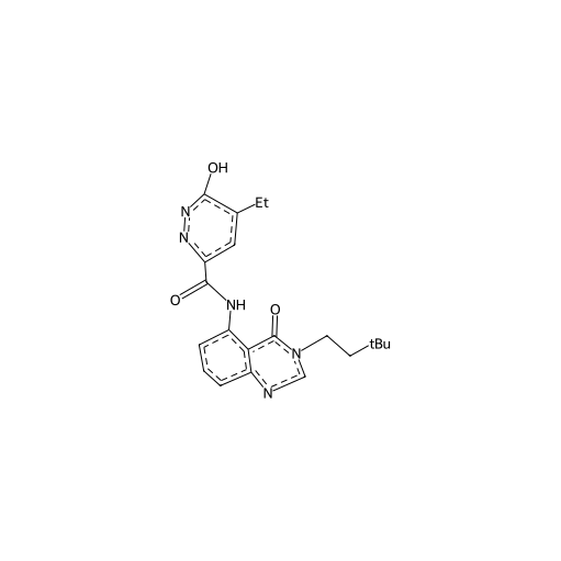 CCc1cc(C(=O)Nc2cccc3ncn(CCC(C)(C)C)c(=O)c23)nnc1O